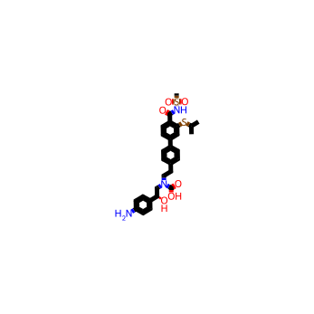 CC(C)Sc1cc(-c2ccc(CCN(C[C@@H](O)c3ccc(N)cc3)C(=O)O)cc2)ccc1C(=O)NS(C)(=O)=O